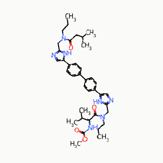 CCCN(Cc1ncc(-c2ccc(-c3ccc(-c4cnc(CN(CCC)C(=O)C(NC(=O)OC)C(C)C)[nH]4)cc3)cc2)[nH]1)C(=O)CC(C)C